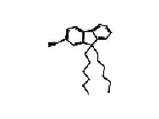 C#Cc1ccc2c(c1)C(CCCCCC)(CCCCCC)c1ccccc1-2